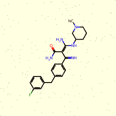 N#CN1CCCC(N/C(N)=C(\C(=N)c2ccc(Cc3cccc(F)c3)cc2)C(N)=O)C1